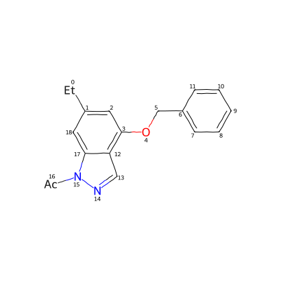 CCc1cc(OCc2ccccc2)c2cnn(C(C)=O)c2c1